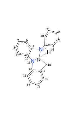 c1ccc(N2c3ccccc3N3c4ccccc4C[C@H]23)cc1